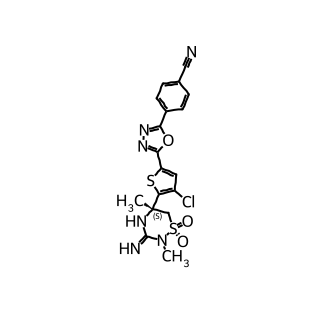 CN1C(=N)N[C@](C)(c2sc(-c3nnc(-c4ccc(C#N)cc4)o3)cc2Cl)CS1(=O)=O